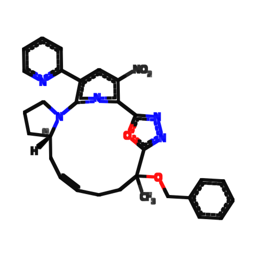 O=[N+]([O-])c1cc(-c2ccccn2)c2nc1-c1nnc(o1)C(OCc1ccccc1)(C(F)(F)F)CCC=CC[C@@H]1CCCN21